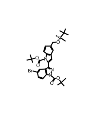 CC(C)(C)OC(=O)n1nc(-c2cc3cc(CO[Si](C)(C)C(C)(C)C)ccc3n2C(=O)OC(C)(C)C)c2cc(Br)ccc21